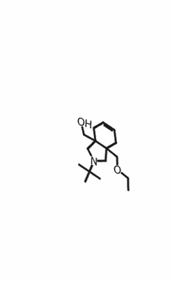 CCOCC12CC=CCC1(CO)CN(C(C)(C)C)C2